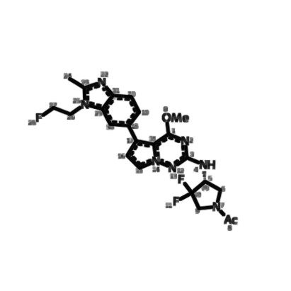 COc1nc(N[C@@H]2CN(C(C)=O)CC2(F)F)nn2ccc(-c3ccc4nc(C)n(CCF)c4c3)c12